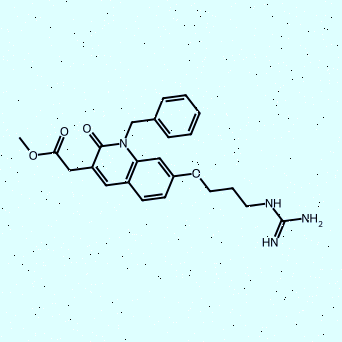 COC(=O)Cc1cc2ccc(OCCCNC(=N)N)cc2n(Cc2ccccc2)c1=O